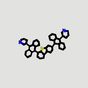 C1=CC2C(c3cccnc3)=c3ccccc3=C(c3cccc4c3sc3cc(-c5c6ccccc6c(-c6cccnc6)c6ccccc56)ccc34)C2C=C1